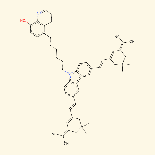 CC1(C)CC(/C=C/c2ccc3c(c2)c2cc(/C=C/C4=CC(=C(C#N)C#N)CC(C)(C)C4)ccc2n3CCCCCCc2ccc(O)c3c2CCC=N3)=CC(=C(C#N)C#N)C1